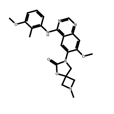 COc1cc2ncnc(Nc3cccc(OC)c3C)c2cc1N1CC2(CN(C)C2)OC1=O